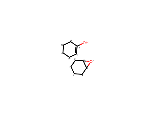 C1CCC2OC2C1.OC1=CCCCC1